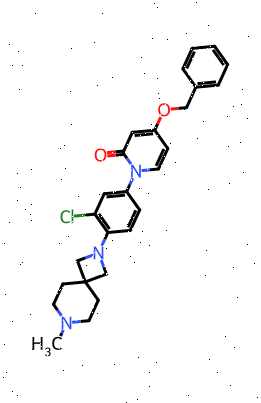 CN1CCC2(CC1)CN(c1ccc(-n3ccc(OCc4ccccc4)cc3=O)cc1Cl)C2